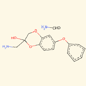 NC=O.NCC1(O)COc2cc(Oc3ccccc3)ccc2O1